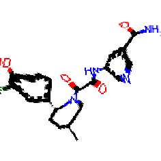 C[C@H]1CC[C@H](c2ccc(O)c(F)c2)N(C(=O)C(=O)Nc2cncc(C(N)=O)c2)C1